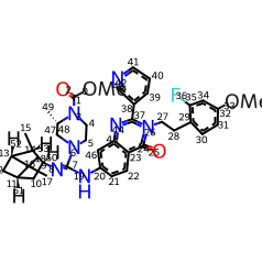 COC(=O)N1CCN(/C(=N\[C@H]2C[C@@H]3C[C@H]([C@@H]2C)C3(C)C)Nc2ccc3c(=O)n(CCc4ccc(OC)cc4F)c(-c4cccnc4)nc3c2)C[C@@H]1C